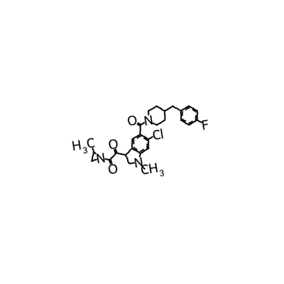 CC1CN1C(=O)C(=O)C1CN(C)c2cc(Cl)c(C(=O)N3CCC(Cc4ccc(F)cc4)CC3)cc21